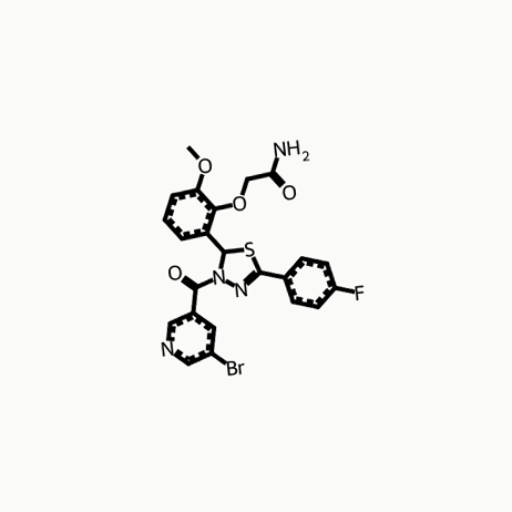 COc1cccc(C2SC(c3ccc(F)cc3)=NN2C(=O)c2cncc(Br)c2)c1OCC(N)=O